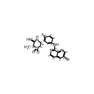 C[C@@H]1C(=N)N[C@H](c2cc(Nc3nccc4cc(Br)cnc34)ccc2F)CS1(=O)=O